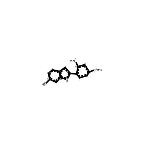 CCCCCc1ccc(-c2cc3ccc(S)cc3s2)c(OC)c1